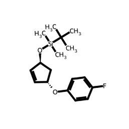 CC(C)(C)[Si](C)(C)O[C@@H]1C=C[C@@H](Oc2ccc(F)cc2)C1